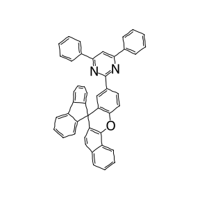 c1ccc(-c2cc(-c3ccccc3)nc(-c3ccc4c(c3)C3(c5ccccc5-c5ccccc53)c3ccc5ccccc5c3O4)n2)cc1